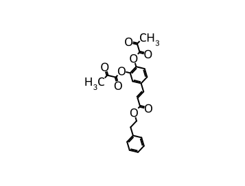 CC(=O)C(=O)Oc1ccc(/C=C/C(=O)OCCc2ccccc2)cc1OC(=O)C(C)=O